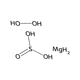 O=S(O)O.OO.[MgH2]